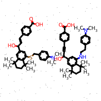 CN(C)c1ccc(CCNc2cc(C(O)C#Cc3ccc(C(=O)O)cc3)cc3c2C(C)(C)CCC3(C)C)cc1.CN(C)c1ccc(CSc2cc(C(O)C=Cc3ccc(C(=O)O)cc3)cc3c2C(C)(C)CCC3(C)C)cc1